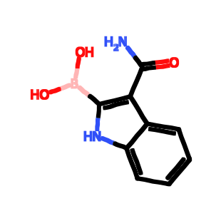 NC(=O)c1c(B(O)O)[nH]c2ccccc12